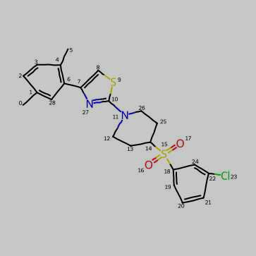 Cc1ccc(C)c(-c2csc(N3CCC(S(=O)(=O)c4cccc(Cl)c4)CC3)n2)c1